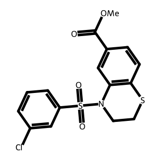 COC(=O)c1ccc2c(c1)N(S(=O)(=O)c1cccc(Cl)c1)CCS2